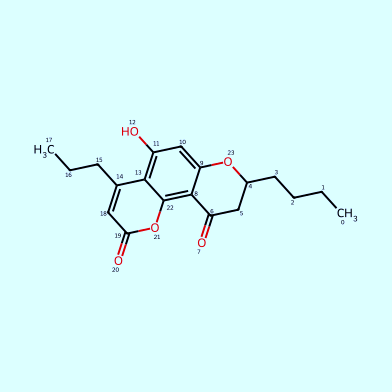 CCCCC1CC(=O)c2c(cc(O)c3c(CCC)cc(=O)oc23)O1